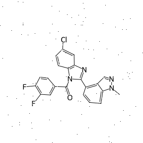 Cn1ncc2c(-c3nc4cc(Cl)ccc4n3C(=O)c3ccc(F)c(F)c3)cccc21